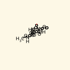 CCCC(=O)Nc1ccc(S(=O)(=O)NC(=O)c2cc(C(=O)O)c(C(=O)N(Cc3cccc(Oc4ccccc4)c3)[C@H]3CCCc4ccccc43)cc2C(=O)O)cc1